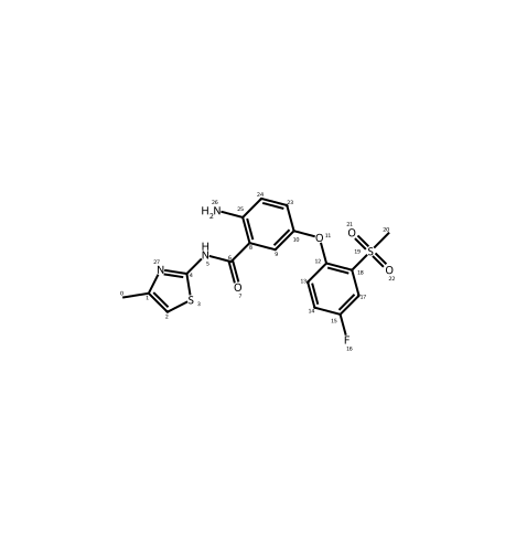 Cc1csc(NC(=O)c2cc(Oc3ccc(F)cc3S(C)(=O)=O)ccc2N)n1